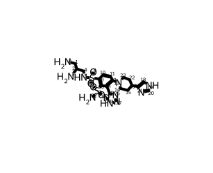 NCC(N)CNS(=O)(=O)c1ccc(N2CCC(c3c[nH]cn3)CC2)c(-c2nn[nH]n2)c1S(N)(=O)=O